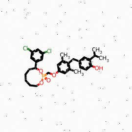 Cc1cc(OCP2(=O)OCCCCCC(c3cc(Cl)cc(Cl)c3)O2)cc(C)c1Cc1ccc(O)c(C(C)C)c1